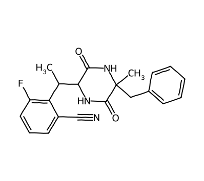 CC(c1c(F)cccc1C#N)C1NC(=O)C(C)(Cc2ccccc2)NC1=O